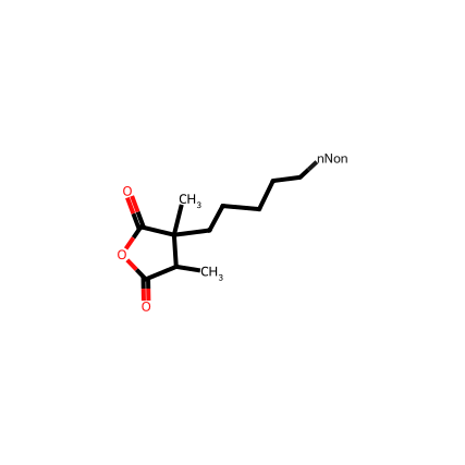 CCCCCCCCCCCCCCC1(C)C(=O)OC(=O)C1C